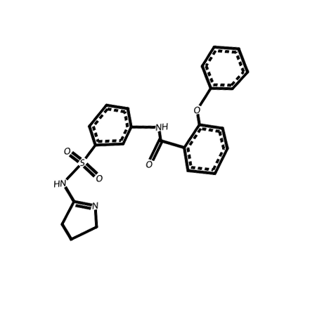 O=C(Nc1cccc(S(=O)(=O)NC2=NCCC2)c1)c1ccccc1Oc1ccccc1